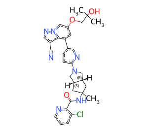 CC(C)(O)COc1cc(-c2ccc(N3C[C@@H]4CC(C)(NC(=O)c5ncccc5Cl)C[C@@H]4C3)nc2)c2c(C#N)cnn2c1